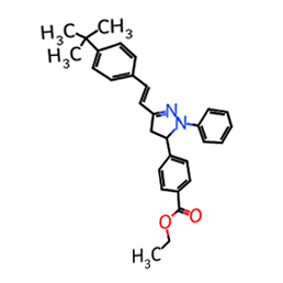 CCOC(=O)c1ccc(C2CC(C=Cc3ccc(C(C)(C)C)cc3)=NN2c2ccccc2)cc1